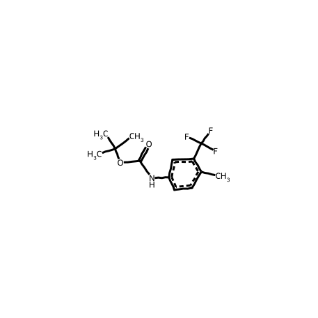 Cc1ccc(NC(=O)OC(C)(C)C)cc1C(F)(F)F